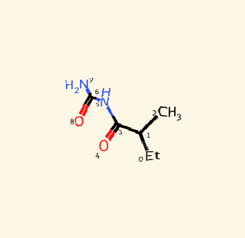 CCC(C)C(=O)NC(N)=O